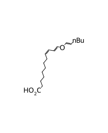 CCCC/C=C/O/C=C/C=C\CCCCCCCC(=O)O